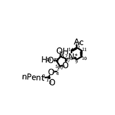 CCCCCC(=O)OC[C@H]1O[C@@H]([n+]2cccc(C(C)=O)c2)[C@H](O)[C@@H]1O